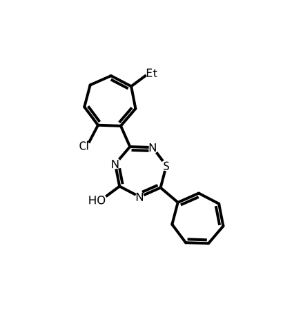 CCC1=CCC=C(Cl)C(C2=NSC(C3=CC=CC=CC3)=NC(O)=N2)=C1